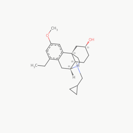 CCc1cc(OC)cc2c1C[C@@H]1[C@@H]3CC[C@H](O)C[C@]23CCN1CC1CC1